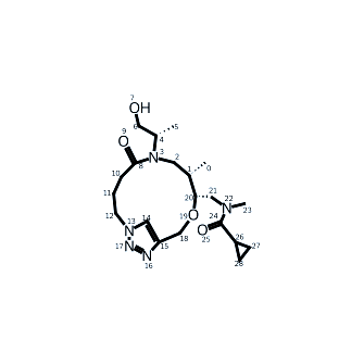 C[C@H]1CN([C@@H](C)CO)C(=O)CCCn2cc(nn2)CO[C@H]1CN(C)C(=O)C1CC1